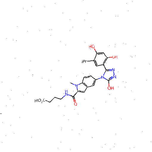 CC(C)c1cc(-c2nnc(O)n2-c2ccc3c(c2)cc(C(=O)NCCCC(=O)O)n3C)c(O)cc1O